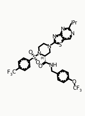 CC(C)c1ncc2sc(N3CCN(S(=O)(=O)c4ccc(C(F)(F)F)cc4)[C@@H](C(=O)NCc4ccc(OC(F)(F)F)cc4)C3)nc2n1